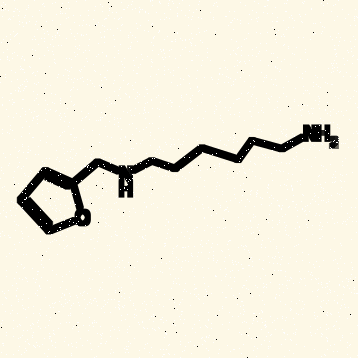 NCCCCCCNCc1ccco1